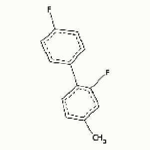 Cc1ccc(-c2ccc(F)cc2)c(F)c1